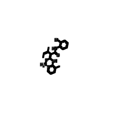 C/C=C(C)\C(C(=O)Nc1ccccc1CC)=C(\Nc1ncccc1C)SN